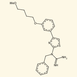 COCCCCOc1cccc(-c2csc(N(Cc3ccccc3)C(=N)N)n2)c1